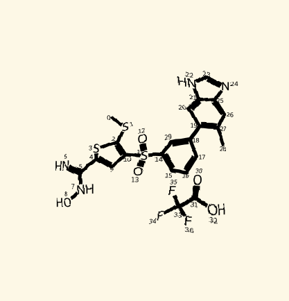 CSc1sc(C(=N)NO)cc1S(=O)(=O)c1cccc(-c2cc3[nH]cnc3cc2C)c1.O=C(O)C(F)(F)F